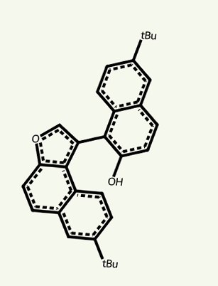 CC(C)(C)c1ccc2c(-c3coc4ccc5cc(C(C)(C)C)ccc5c34)c(O)ccc2c1